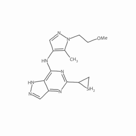 COCCn1ncc(Nc2nc(C3C[SiH2]3)nc3cn[nH]c23)c1C